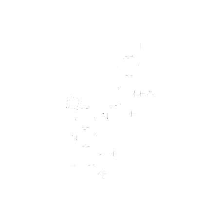 CC(=O)N[C@@H](Cc1ccc(Cl)cc1)[C@H](O)CN[C@H]1CC2(CCC2)Oc2ncc(C(O)C(C)C(F)(F)F)cc21